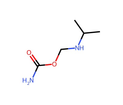 CC(C)NCOC(N)=O